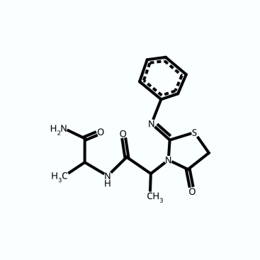 CC(NC(=O)C(C)N1C(=O)CSC1=Nc1ccccc1)C(N)=O